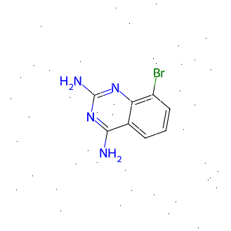 Nc1nc(N)c2cccc(Br)c2n1